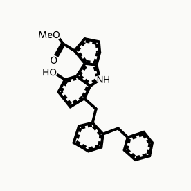 COC(=O)c1cccc2[nH]c3c(Cc4ccccc4Cc4ccccc4)ccc(O)c3c12